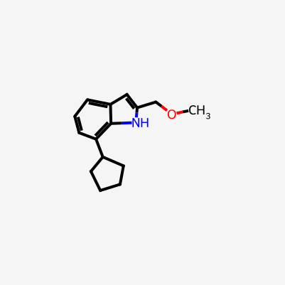 COCc1cc2cccc(C3CCCC3)c2[nH]1